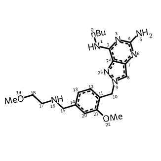 CCCCNc1nc(N)nc2cn(Cc3ccc(CNCCOC)cc3OC)nc12